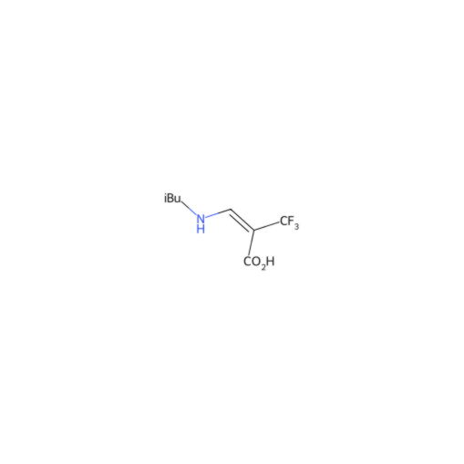 CCC(C)N/C=C(\C(=O)O)C(F)(F)F